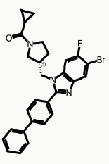 O=C(C1CC1)N1CC[C@H](Cn2c(-c3ccc(-c4ccccc4)cc3)nc3cc(Br)c(F)cc32)C1